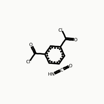 N=C=O.O=C(Cl)c1cccc(C(=O)Cl)c1